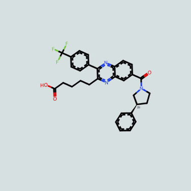 O=C(O)CCCCc1nc2cc(C(=O)N3CC[C@@H](c4ccccc4)C3)ccc2nc1-c1ccc(C(F)(F)F)cc1